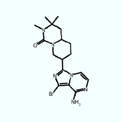 CN1C(=O)N2CC(c3nc(Br)c4c(N)nccn34)CCC2CC1(C)C